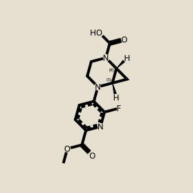 COC(=O)c1ccc(N2CCN(C(=O)O)[C@@H]3C[C@@H]32)c(F)n1